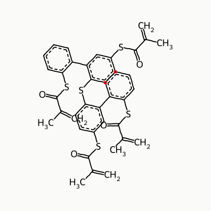 C=C(C)C(=O)Sc1ccc(Sc2ccc(SC(=O)C(=C)C)cc2-c2ccccc2SC(=O)C(=C)C)c(-c2ccccc2SC(=O)C(=C)C)c1